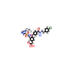 Cn1cncc1S(=O)(=O)NCc1cc(CC(=O)O)ccc1Oc1ccc(C(=O)NCCc2ccc(Cl)cc2)cc1